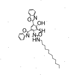 CCCCCCCCCCCCNC(=O)N(C)c1c(-c2nc3ccccc3o2)cc(-c2nc3ccccc3o2)c(O)c1S